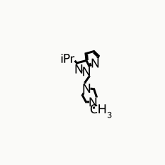 CC(C)c1nn(CCN2CCN(C)CC2)c2ncccc12